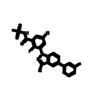 Cc1cccc(-c2ccc3c(c2)c(Cl)nn3-c2cc(Cl)cc(C(=O)NS(C)(=O)=O)c2F)c1